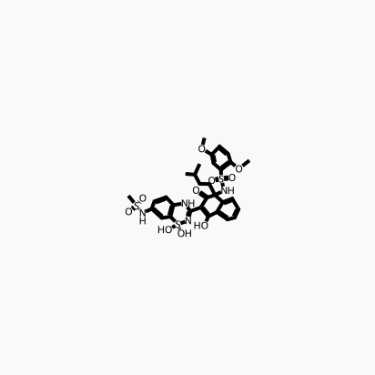 COc1ccc(OC)c(S(=O)(=O)NC2(CCC(C)C)C(=O)C(C3=NS(O)(O)c4cc(NS(C)(=O)=O)ccc4N3)=C(O)c3ccccc32)c1